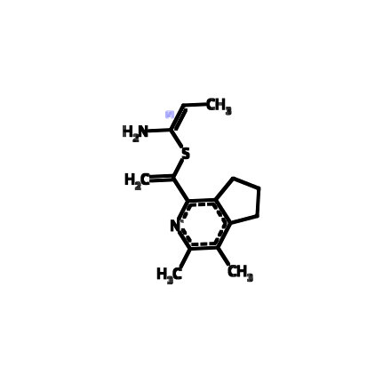 C=C(S/C(N)=C\C)c1nc(C)c(C)c2c1CCC2